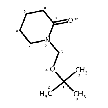 CC(C)(C)OCN1CCCCC1=O